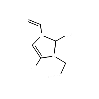 C=CN1C=C(C#N)N(CCCCCCCC)C1C#N